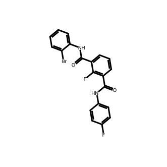 O=C(Nc1ccc(F)cc1)c1cccc(C(=O)Nc2ccccc2Br)c1F